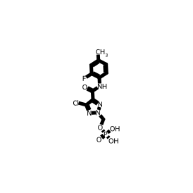 Cc1ccc(NC(=O)c2nn(COP(=O)(O)O)nc2Cl)c(F)c1